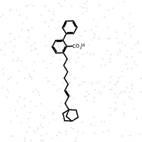 O=C(O)c1c(CCCCCC=CCC23CCC(CC2)C3)cccc1-c1ccccc1